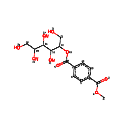 COC(=O)c1ccc(C(=O)OC(CO)C(O)C(O)C(O)CO)cc1